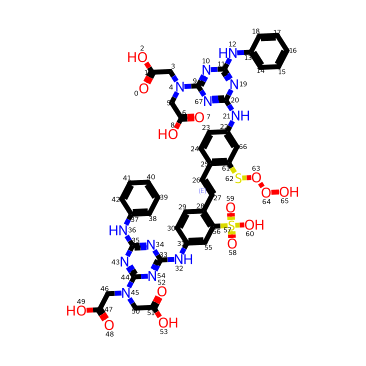 O=C(O)CN(CC(=O)O)c1nc(Nc2ccccc2)nc(Nc2ccc(/C=C/c3ccc(Nc4nc(Nc5ccccc5)nc(N(CC(=O)O)CC(=O)O)n4)cc3S(=O)(=O)O)c(SOOO)c2)n1